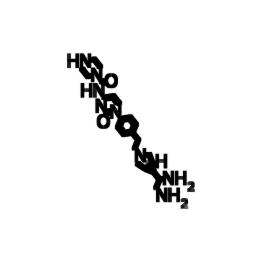 NCC(N)C1C2CN(CCc3ccc(-n4ccc(NC(=O)N5CCNCC5)nc4=O)cc3)C[C@@H]21